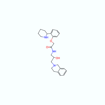 O=C(COc1ccccc1C1CCCCN1)NCC(O)CN1CCc2ccccc2C1